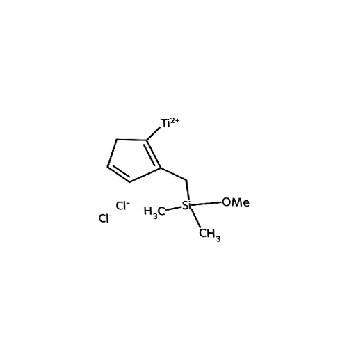 CO[Si](C)(C)CC1=[C]([Ti+2])CC=C1.[Cl-].[Cl-]